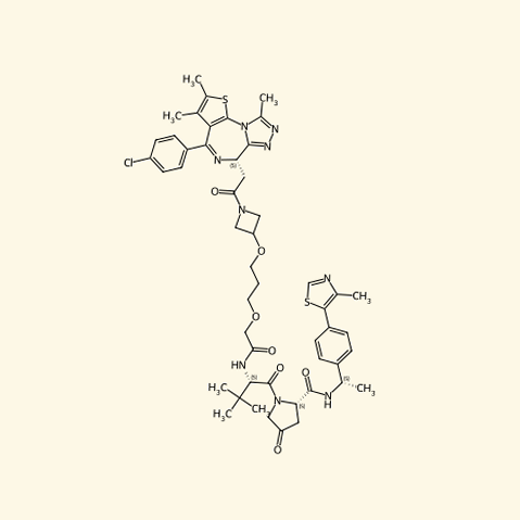 Cc1ncsc1-c1ccc([C@H](C)NC(=O)[C@@H]2CC(=O)CN2C(=O)[C@@H](NC(=O)COCCCOC2CN(C(=O)C[C@@H]3N=C(c4ccc(Cl)cc4)c4c(sc(C)c4C)-n4c(C)nnc43)C2)C(C)(C)C)cc1